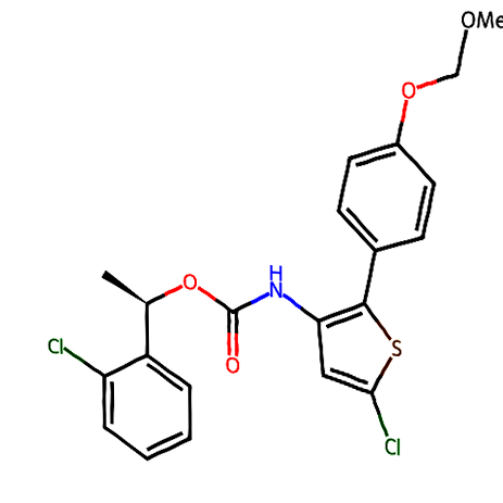 COCOc1ccc(-c2sc(Cl)cc2NC(=O)O[C@H](C)c2ccccc2Cl)cc1